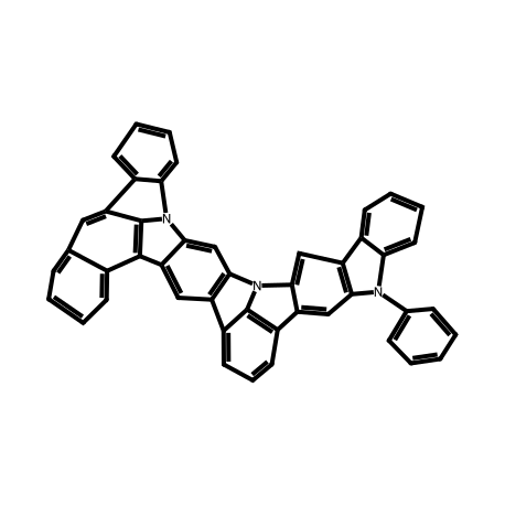 c1ccc(-n2c3ccccc3c3cc4c(cc32)c2cccc3c5cc6c7c8ccccc8cc8c9ccccc9n(c6cc5n4c23)c87)cc1